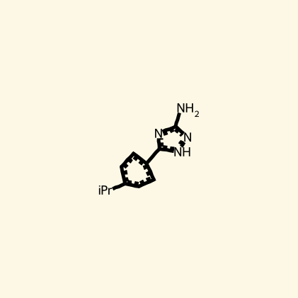 CC(C)c1ccc(-c2nc(N)n[nH]2)cc1